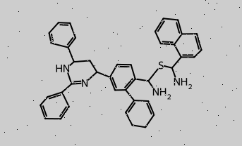 NC(SC(N)c1cccc2ccccc12)c1ccc(C2CC(c3ccccc3)NC(c3ccccc3)=N2)cc1C1=CCCC=C1